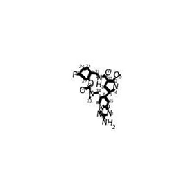 COc1ncc(-c2ccn3nc(N)nc3c2)cc1C(=O)NCc1ccc(F)cc1OC(=O)N(C)C